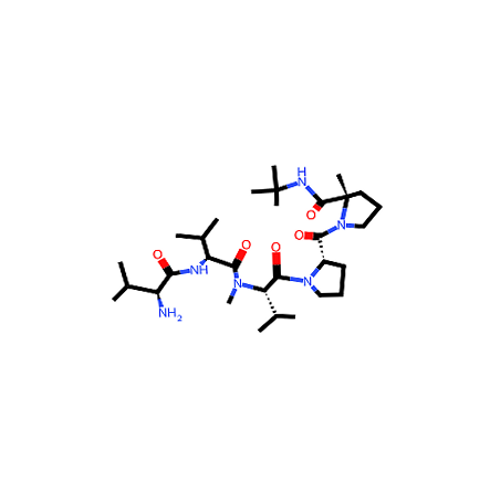 CC(C)[C@H](N)C(=O)N[C@H](C(=O)N(C)[C@H](C(=O)N1CCC[C@H]1C(=O)N1CCC[C@@]1(C)C(=O)NC(C)(C)C)C(C)C)C(C)C